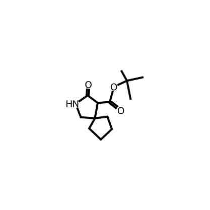 CC(C)(C)OC(=O)C1C(=O)NCC12CCCC2